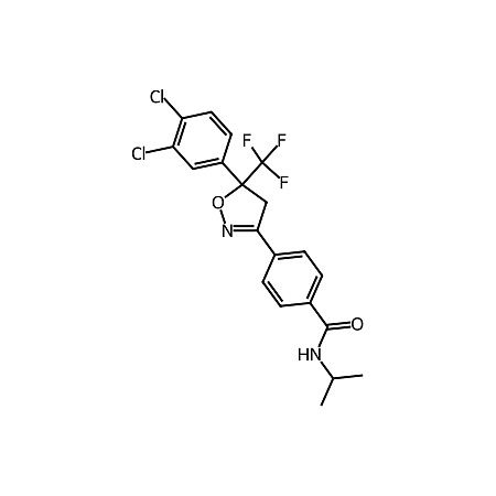 CC(C)NC(=O)c1ccc(C2=NOC(c3ccc(Cl)c(Cl)c3)(C(F)(F)F)C2)cc1